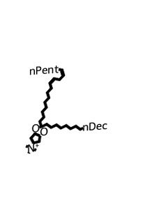 CCCCC/C=C\C/C=C\CCCCCCCCC1(CCCCCCCCCCCCCCCCCC)OC2CC([N+](C)(C)C)CC2O1